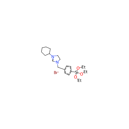 CCO[Si](OCC)(OCC)c1ccc(CN2C=[N+](C3CCCCC3)CC2)cc1.[Br-]